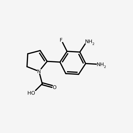 Nc1ccc(C2=CCCN2C(=O)O)c(F)c1N